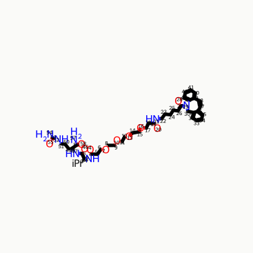 CC(C)[C@H](NC(=O)CCOCCOCCOCCOCCC(=O)NCCCCCC(=O)N1Cc2ccccc2C#Cc2ccccc21)C(=O)N[C@@H](CCCNC(N)=O)C(N)=O